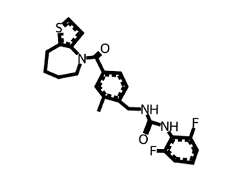 Cc1cc(C(=O)N2CCCCc3sccc32)ccc1CNC(=O)Nc1c(F)cccc1F